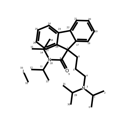 CC(C)N(CCCC1(C(=O)N(C(C)C)C(C)C)c2ccccc2-c2ccccc21)C(C)C.CI